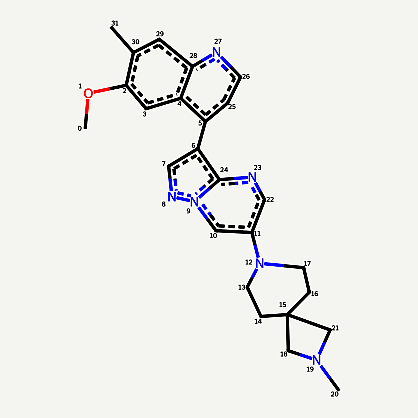 COc1cc2c(-c3cnn4cc(N5CCC6(CC5)CN(C)C6)cnc34)ccnc2cc1C